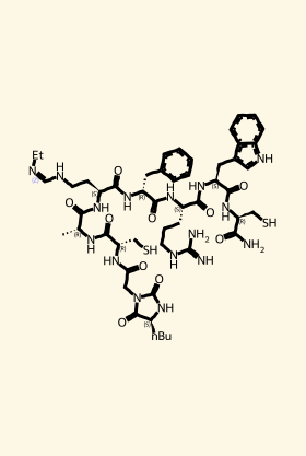 CCCC[C@@H]1NC(=O)N(CC(=O)N[C@@H](CS)C(=O)N[C@H](C)C(=O)N[C@@H](CCN/C=N\CC)C(=O)N[C@H](Cc2ccccc2)C(=O)N[C@@H](CCCNC(=N)N)C(=O)N[C@@H](Cc2c[nH]c3ccccc23)C(=O)N[C@@H](CS)C(N)=O)C1=O